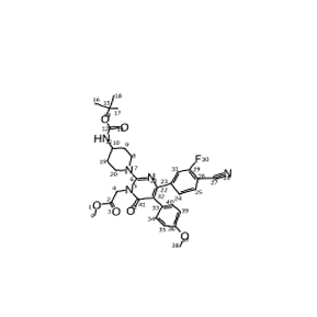 COC(=O)Cn1c(N2CCC(NC(=O)OC(C)(C)C)CC2)nc(-c2ccc(C#N)c(F)c2)c(-c2ccc(OC)cc2)c1=O